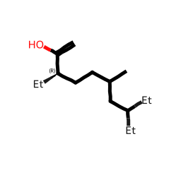 C=C(O)[C@H](CC)CCC(C)CC(CC)CC